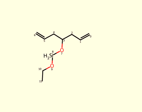 C=CCC(CC=C)O[SiH2]OCC